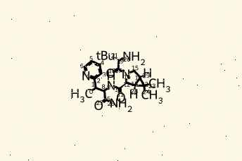 CC(c1ccccn1)C(NC(=O)[C@@H]1[C@@H]2[C@H](CN1C(=O)[C@@H](N)C(C)(C)C)C2(C)C)C(N)=O